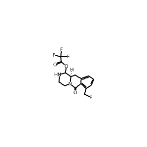 O=C1c2c(CF)cccc2C[C@@H]2C(OC(=O)C(F)(F)F)NCCN12